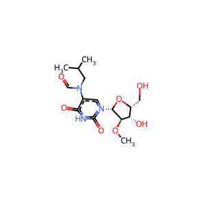 CO[C@@H]1[C@@H](O)[C@@H](CO)O[C@H]1n1cc(N(C=O)CC(C)C)c(=O)[nH]c1=O